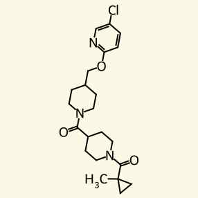 CC1(C(=O)N2CCC(C(=O)N3CCC(COc4ccc(Cl)cn4)CC3)CC2)CC1